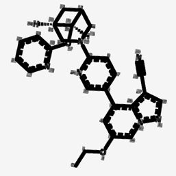 CCOc1cc(-c2ccc(N3CC4C[C@H](C3)[C@@H]4Oc3ccccn3)nc2)c2c(C#N)cnn2c1